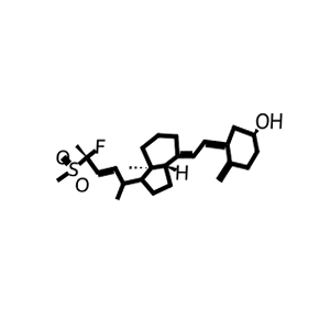 C=C1CC[C@H](O)C/C1=C/C=C1\CCC[C@]2(C)C(C(C)/C=C/[C@@](C)(F)S(C)(=O)=O)CC[C@@H]12